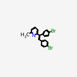 Cc1cccc(C(=Cc2ccc(Br)cc2)c2ccc(Br)cc2)n1